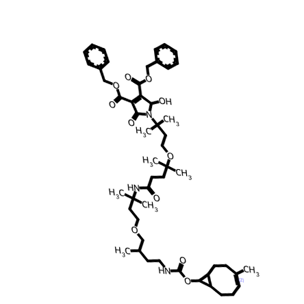 C/C1=C/CCC2C(CC1)C2OC(=O)NCCC(C)COCCC(C)(C)NC(=O)CCC(C)(C)OCCC(C)(C)N1C(=O)C(C(=O)OCc2ccccc2)=C(C(=O)OCc2ccccc2)C1O